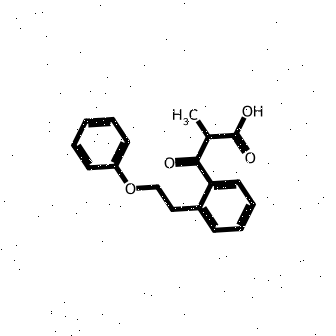 CC(C(=O)O)C(=O)c1ccccc1CCOc1ccccc1